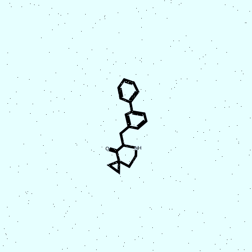 O=C1C(Cc2cccc(-c3ccccc3)c2)NCCC12CC2